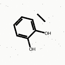 CC.Oc1ccccc1O